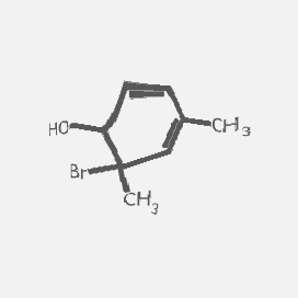 CC1=CC(C)(Br)C(O)C=C1